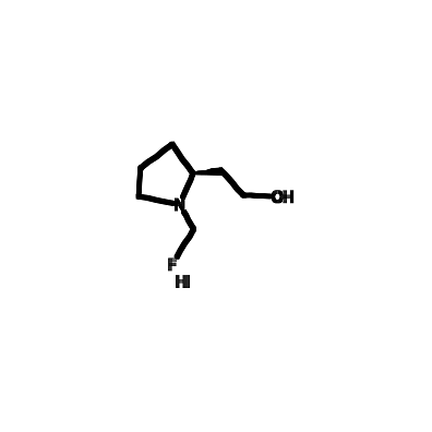 I.OCC[C@@H]1CCCN1CF